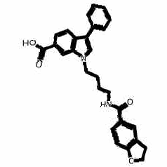 O=C(O)c1ccc2c(-c3ccccc3)cn(CCCCNC(=O)c3ccc4c(c3)CCO4)c2c1